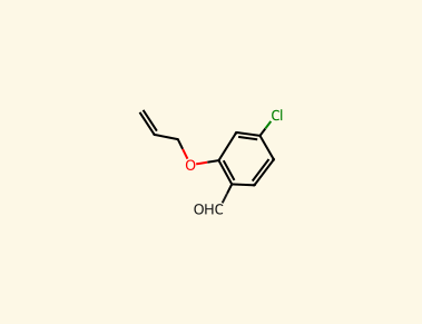 C=CCOc1cc(Cl)ccc1C=O